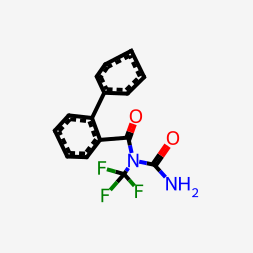 NC(=O)N(C(=O)c1ccccc1-c1ccccc1)C(F)(F)F